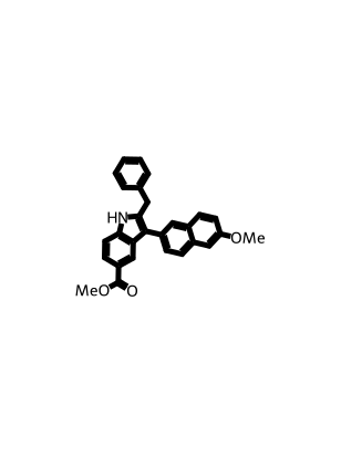 COC(=O)c1ccc2[nH]c(Cc3ccccc3)c(-c3ccc4cc(OC)ccc4c3)c2c1